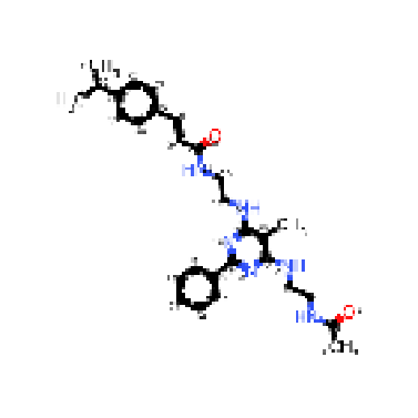 CC(=O)NCCNc1nc(-c2ccccc2)nc(NCCNC(=O)C=Cc2ccc(C(C)C)cc2)c1C